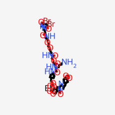 CC[C@@]1(OC(=O)OCc2ccc(NC(=O)[C@H](CCCCN)NC(=O)COCC(=O)NCCOCCOCCNC(=O)CCn3c(=O)c(Br)c(Br)c(=O)n3C)cc2)C(=O)OCc2c1cc1n(c2=O)Cc2cc3cc4c(cc3nc2-1)OCO4